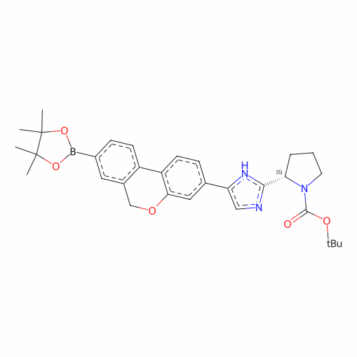 CC(C)(C)OC(=O)N1CCC[C@H]1c1ncc(-c2ccc3c(c2)OCc2cc(B4OC(C)(C)C(C)(C)O4)ccc2-3)[nH]1